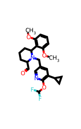 COc1cccc(OC)c1C1CCCC(C=O)N1Cc1cnc(OC(F)F)c(C2CC2)c1